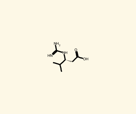 CC(C)[C@@H](CC(=O)O)NC(=N)N